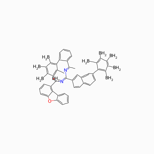 Bc1c(B)c(B)c(-c2ccc3ccc(C(=N/C(=C)c4cccc5oc6ccccc6c45)/N=C(\C)c4ccccc4-c4c(B)c(B)c(B)c(B)c4C)cc3c2)c(B)c1B